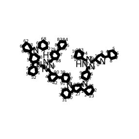 C1=NC(c2ccccc2)=CCC1C1=NC(c2ccc(-n3c4ccccc4c4cc5c6ccccc6n(-c6cccc(-c7cccc(C8=NC(n9c%10ccccc%10c%10cc%11c%12ccccc%12n(-c%12ccccc%12)c%11cc%109)NC(c9ccc(-c%10ccccc%10)cc9)=N8)c7)c6)c5cc43)cc2)NC(c2ccccc2)=N1